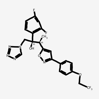 C[C@@H](c1cc(-c2ccc(OCC(F)(F)F)cc2)no1)[C@](O)(Cn1cnnn1)c1ccc(F)cc1F